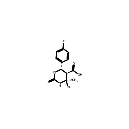 C[C@]1(O)NC(=O)N[C@H](c2ccc(F)cc2)[C@H]1C(=O)O